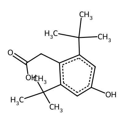 CC(C)(C)c1cc(O)cc(C(C)(C)C)c1CC(=O)O